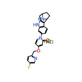 Cl.Cl.O=c1cc(OCc2ccc(F)cn2)ccn1-c1ccc2c3c([nH]c2c1)CC1CCC3N1